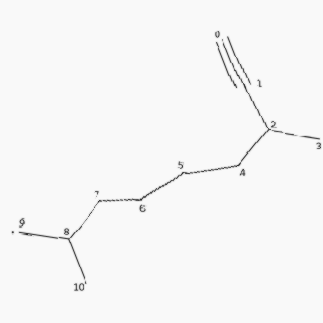 C#CC(C)CCCCC([CH2])C